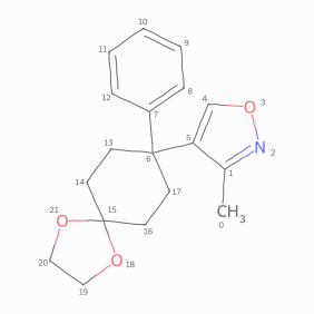 Cc1nocc1C1(c2ccccc2)CCC2(CC1)OCCO2